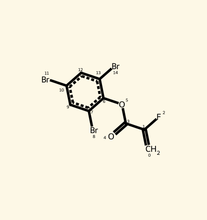 C=C(F)C(=O)Oc1c(Br)cc(Br)cc1Br